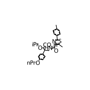 CCCOc1ccc(C(CNC(=O)c2nc(-c3ccc(C)cc3)sc2C)C(OC(C)C)C(=O)O)cc1